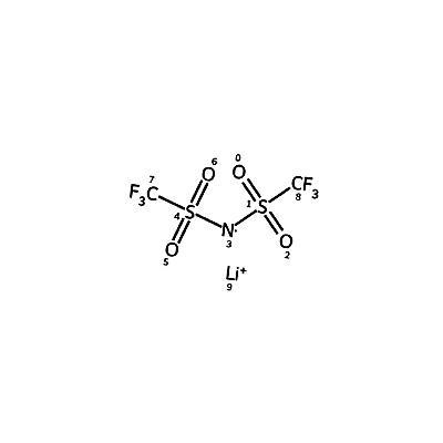 O=S(=O)([N]S(=O)(=O)C(F)(F)F)C(F)(F)F.[Li+]